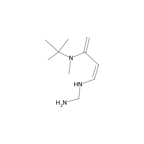 C=C(/C=C\NCN)N(C)C(C)(C)C